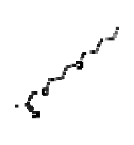 CCCCCOCCCOCC(C)=O